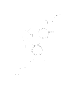 CCOC(=O)c1cn2c(cc1=O)-c1cc(O)c(OCCCO)cc1[C@H]1CCC(C)(C)N12